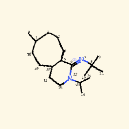 CC1CCCC2/C(=N/C(C)(C)C)N(C(C)C)CCC2CC1